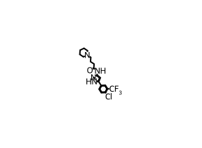 O=C(CCCN1CCCCC1)Nc1cc(-c2ccc(Cl)c(C(F)(F)F)c2)[nH]n1